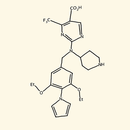 CCOc1cc(CN(c2ncc(C(=O)O)c(C(F)(F)F)n2)C2CCNCC2)cc(OCC)c1-n1cccc1